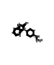 O=C(O)N[C@H]1CC[C@H](n2c(=O)[nH]c3cccnc32)CC1